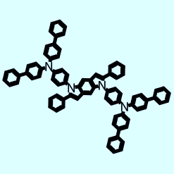 c1ccc(-c2ccc(N(c3ccc(-c4ccccc4)cc3)c3ccc(-n4c(-c5ccccc5)cc5cc6c(cc(-c7ccccc7)n6-c6ccc(N(c7ccc(-c8ccccc8)cc7)c7ccc(-c8ccccc8)cc7)cc6)cc54)cc3)cc2)cc1